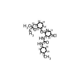 Cc1ccc(NC(=O)Nc2cc(Cl)cnc2Oc2cccc3c2OC(C)(C)C3)cc1